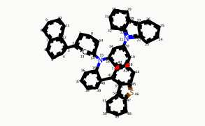 c1cc(-c2cccc3ccccc23)cc(N(c2cccc(-n3c4ccccc4c4ccccc43)c2)c2ccccc2-c2cccc3sc4ccccc4c23)c1